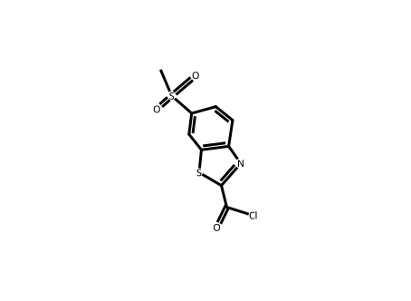 CS(=O)(=O)c1ccc2nc(C(=O)Cl)sc2c1